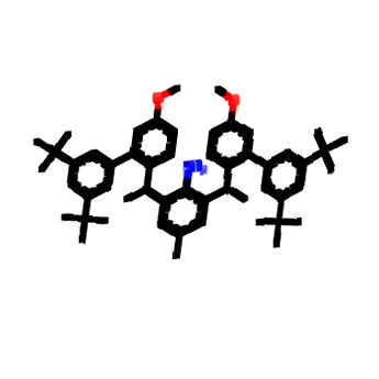 COc1ccc(C(C)c2cc(C)cc(C(C)c3ccc(OC)cc3-c3cc(C(C)(C)C)cc(C(C)(C)C)c3)c2N)c(-c2cc(C(C)(C)C)cc(C(C)(C)C)c2)c1